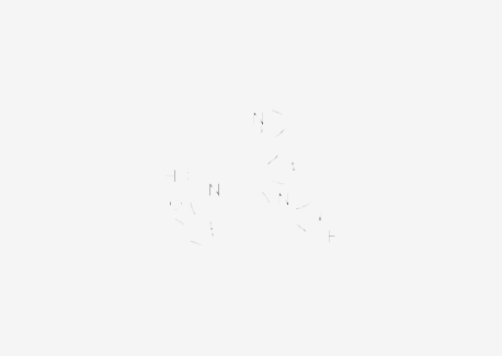 CC(c1occ2ccccc12)N1CCC(c2cn(-c3ccc(F)cc3)c3ccc(-c4cccnc4)cc23)CC1